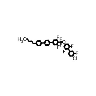 CCCCCc1ccc(-c2ccc(-c3cc(F)c(C(F)(F)Oc4cc(F)c(-c5ccc(Cl)c(F)c5)c(F)c4)c(F)c3)cc2)cc1